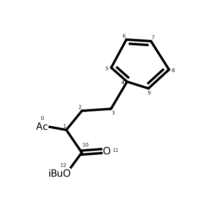 CC(=O)C(CCc1ccccc1)C(=O)OCC(C)C